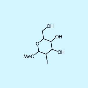 COC1OC(CO)C(O)C(O)C1I